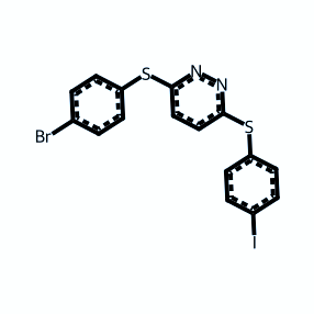 Brc1ccc(Sc2ccc(Sc3ccc(I)cc3)nn2)cc1